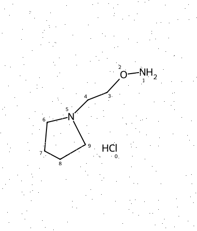 Cl.NOCCN1CCCC1